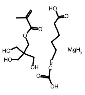 C=C(C)C(=O)OCC(CO)(CO)CO.O=C(O)CCCCCCC(=O)O.[MgH2]